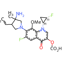 C=CC1CN(c2c(F)cc3c(=O)c(OC(=O)O)cn([C@@H]4C[C@@H]4F)c3c2OC)CC1(C)N